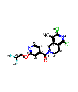 N#Cc1c(Cl)nc(Cl)c2c1CN(C(=O)c1ccnc(OCC(F)F)c1)CC2